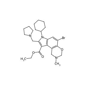 CCOC(=O)c1c(CN2CCCC2)n(C2CCCCC2)c2cc(Br)c3c(c12)CN(C)CO3